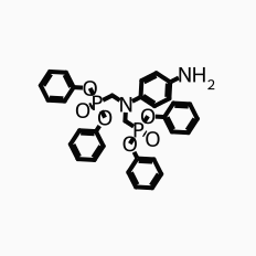 Nc1ccc(N(CP(=O)(Oc2ccccc2)Oc2ccccc2)CP(=O)(Oc2ccccc2)Oc2ccccc2)cc1